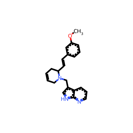 COc1cccc(/C=C/C2CC=CCN2Cc2c[nH]c3ncccc23)c1